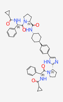 O=C(N[C@@H](C(=O)N1CCC[C@H]1C(=O)N[C@H]1CC[C@H](c2ccc(-c3cnc([C@@H]4CCCN4C(=O)[C@H](NC(=O)C4CC4)c4ccccc4)[nH]3)cc2)CC1)c1ccccc1)C1CC1